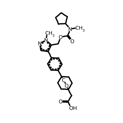 CN(C(=O)OCc1c(-c2ccc(C34CCC(CC(=O)O)(CC3)OC4)cc2)cnn1C)C1CCCC1